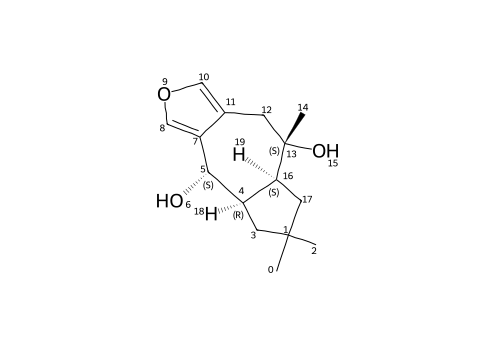 CC1(C)C[C@H]2[C@H](O)c3cocc3C[C@](C)(O)[C@H]2C1